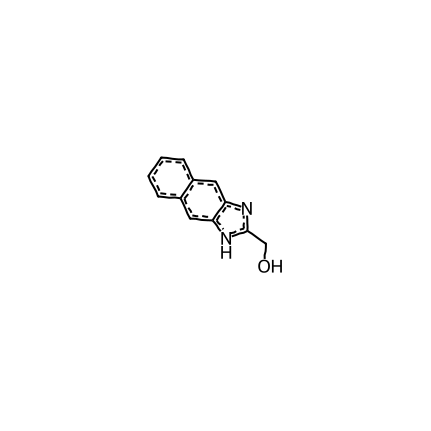 OCc1nc2cc3ccccc3cc2[nH]1